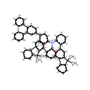 CC1(C)c2ccccc2-c2ccc(-c3ccccc3N(c3ccc(-c4ccc(-c5ccccc5)c(-c5ccccc5)c4)cc3)c3ccccc3-c3cccc4c3C(C)(C)c3ccccc3-4)cc21